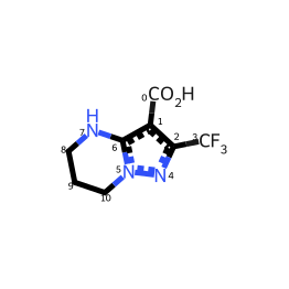 O=C(O)c1c(C(F)(F)F)nn2c1NCCC2